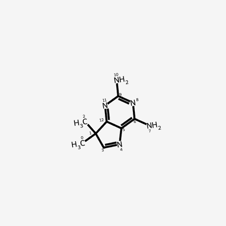 CC1(C)C=Nc2c(N)nc(N)nc21